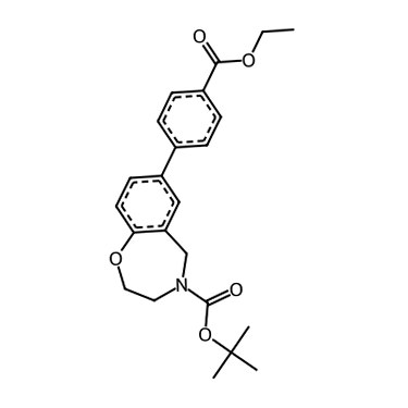 CCOC(=O)c1ccc(-c2ccc3c(c2)CN(C(=O)OC(C)(C)C)CCO3)cc1